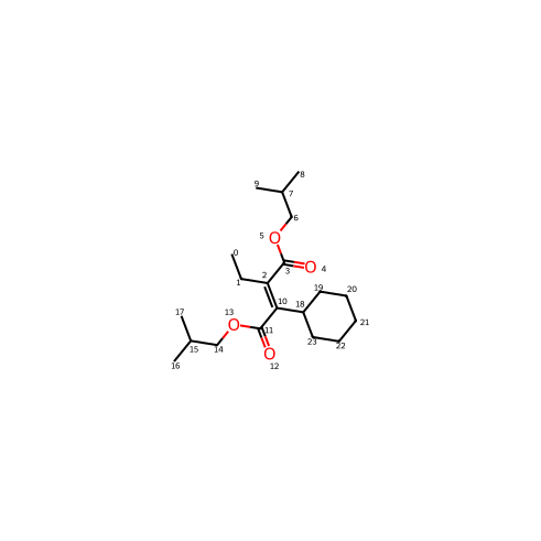 CCC(C(=O)OCC(C)C)=C(C(=O)OCC(C)C)C1CCCCC1